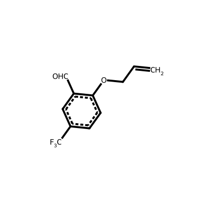 C=CCOc1ccc(C(F)(F)F)cc1C=O